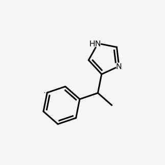 CC(c1c[c]ccc1)c1c[nH]cn1